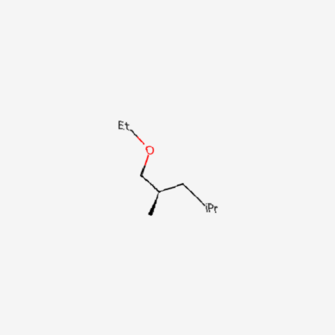 CCOC[C@H](C)CC(C)C